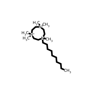 CCCCCCCCCC[N+]1(C)CC[N+](C)(C)CC[N+](C)(C)CC1